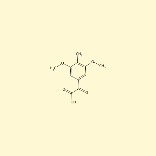 COc1cc(C(=O)C(=O)O)cc(OC)c1C